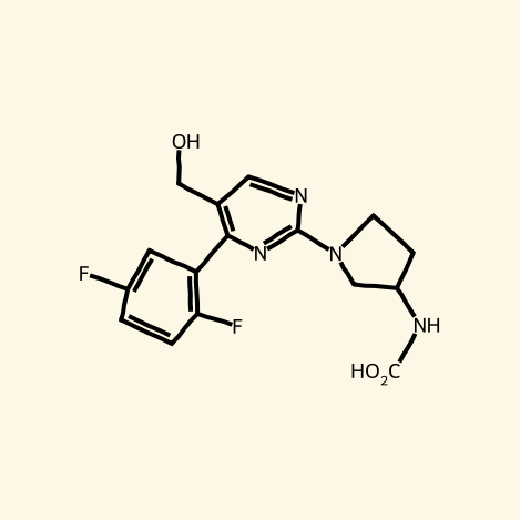 O=C(O)NC1CCN(c2ncc(CO)c(-c3cc(F)ccc3F)n2)C1